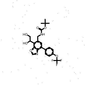 CC(C)(C)OC(=O)NCc1cc(-c2ccc(OC(F)(F)F)cc2)c2ncoc2c1C(O)CO